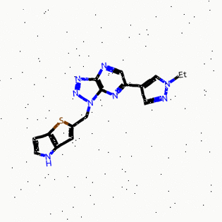 CCn1cc(-c2cnc3nnn(Cc4cc5[nH]ccc5s4)c3n2)cn1